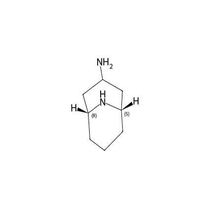 NC1C[C@H]2CCC[C@@H](C1)N2